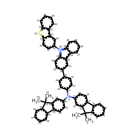 CC1(C)c2ccccc2-c2ccc(N(c3ccc(-c4ccc5c(c4)c4ccccc4n5-c4ccc5sc6ccccc6c5c4)cc3)c3ccc4c(c3)C(C)(C)c3ccccc3-4)cc21